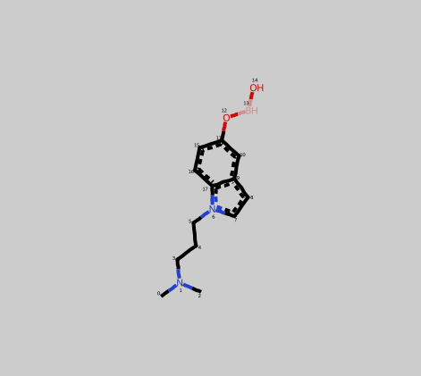 CN(C)CCCn1ccc2cc(OBO)ccc21